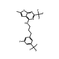 Cc1cc2c(NCCCc3cc(F)cc(C(F)(F)F)c3)nc(C(F)(F)F)nc2s1